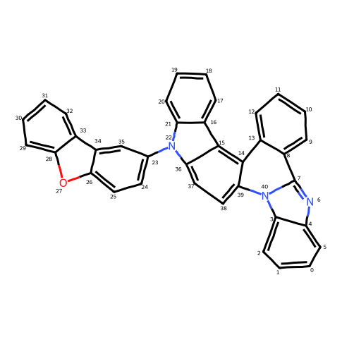 c1ccc2c(c1)nc1c3ccccc3c3c4c5ccccc5n(-c5ccc6oc7ccccc7c6c5)c4ccc3n21